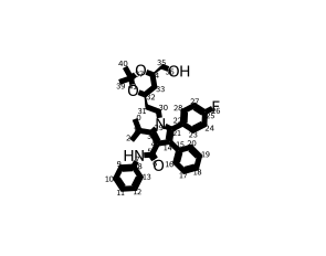 CC(C)c1c(C(=O)Nc2ccccc2)c(-c2ccccc2)c(-c2ccc(F)cc2)n1CC[C@@H]1C[C@H](CO)OC(C)(C)O1